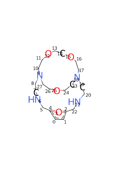 c1cc2oc1CNCCN1CCOCCOCCN(CCNC2)CCOCC1